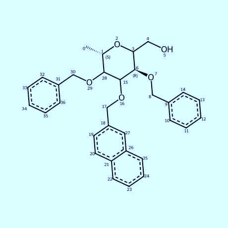 C[C@@H]1OC(CO)[C@@H](OCc2ccccc2)C(OCc2ccc3ccccc3c2)C1OCc1ccccc1